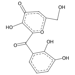 O=C(c1cccc(O)c1O)c1oc(CO)cc(=O)c1O